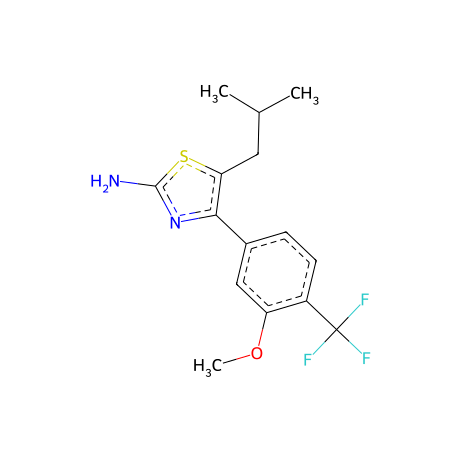 COc1cc(-c2nc(N)sc2CC(C)C)ccc1C(F)(F)F